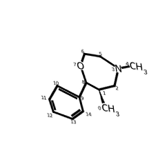 C[C@@H]1CN(C)CCOC1c1ccccc1